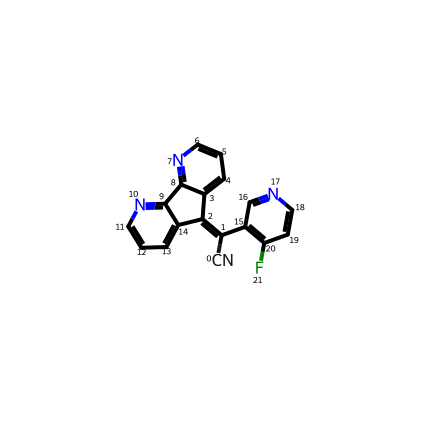 N#CC(=C1c2cccnc2-c2ncccc21)c1cnccc1F